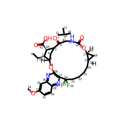 CC[C@@H]1[C@@H]2CC(C(=O)[C@H](C(C)(C)C)NC(=O)O[C@@H]3C[C@H]3CCCCC(F)(F)c3nc4ccc(OC)cc4nc3O2)[C@@H]1C(=O)O